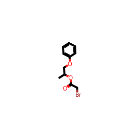 CC(COc1ccccc1)OC(=O)CBr